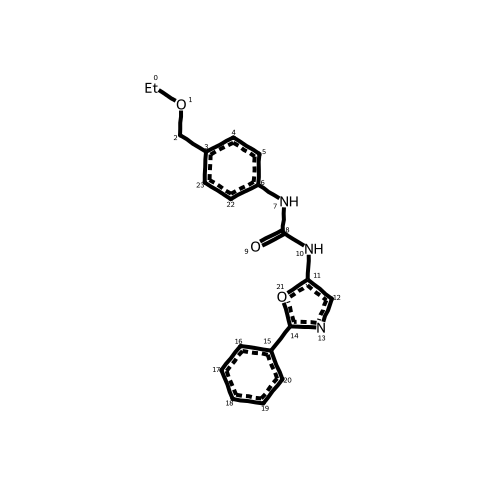 CCOCc1ccc(NC(=O)Nc2cnc(-c3ccccc3)o2)cc1